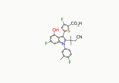 Cc1cc(-n2c(C(C)(C)CC#N)c(-c3cc(F)c(C(=O)O)s3)c3c(O)cc(F)cc32)ccc1F